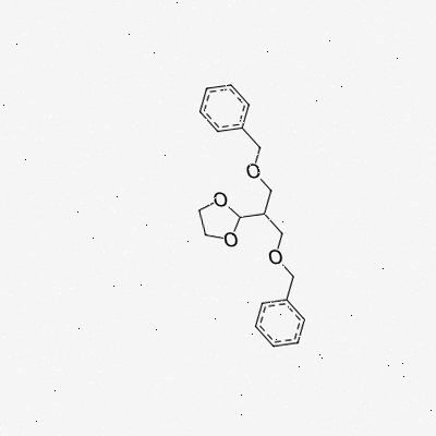 c1ccc(COCC(COCc2ccccc2)C2OCCO2)cc1